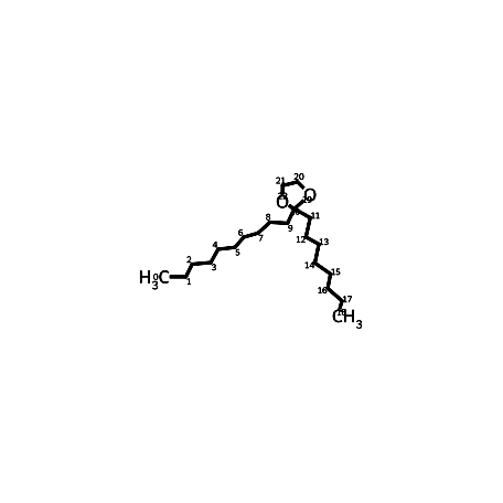 CCCCCCCCCCC1(CCCCCCCC)OCCO1